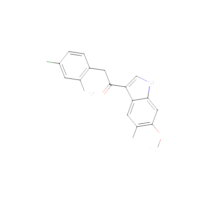 COc1cc(F)ccc1CC(=O)c1c[nH]c2cc(OC(F)(F)F)c(C)cc12